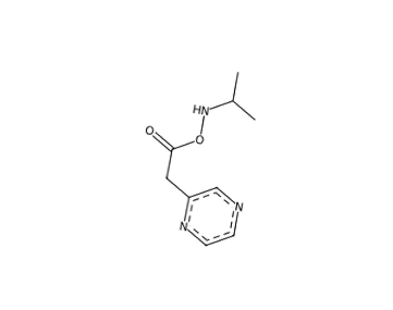 CC(C)NOC(=O)Cc1cnccn1